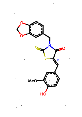 COc1cc(/C=C2\SC(=S)N(Cc3ccc4c(c3)OCO4)C2=O)ccc1O